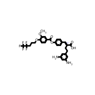 COc1cc(C(=O)Oc2ccc(/C=C(\CCc3cc(N)cc(N)c3)C(=O)O)cc2)ccc1OCCCC(F)(F)C(F)(F)F